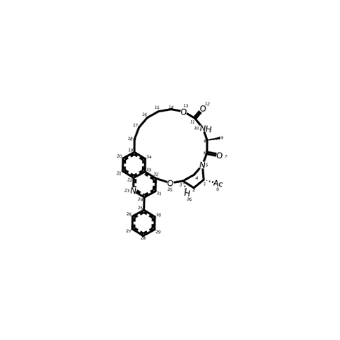 CC(=O)[C@@H]1C[C@@H]2CN1C(=O)[C@H](C)NC(=O)OCCCCCc1ccc3nc(-c4ccccc4)cc(c3c1)O2